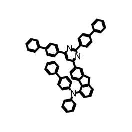 c1ccc(-c2ccc(-c3cc(-c4ccc5c(c4)Cc4cccc(N(c6ccccc6)c6ccc(-c7ccccc7)cc6)c4-5)nc(-c4ccc(-c5ccccc5)cc4)n3)cc2)cc1